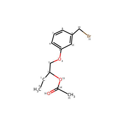 CCC(COc1cccc(CBr)c1)OC(C)=O